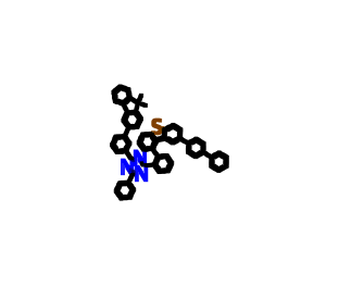 CC1(C)c2ccccc2-c2cc(-c3cccc(-c4nc(-c5ccccc5)nc(-c5ccccc5-c5cccc6sc7ccc(-c8ccc(-c9ccccc9)cc8)cc7c56)n4)c3)ccc21